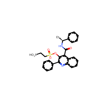 CC[C@H](NC(=O)c1c(OS(=O)(=O)CCS(=O)(=O)O)c(-c2ccccc2)nc2ccccc12)c1ccccc1